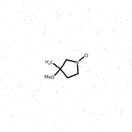 COC1(C)CCN(Cl)C1